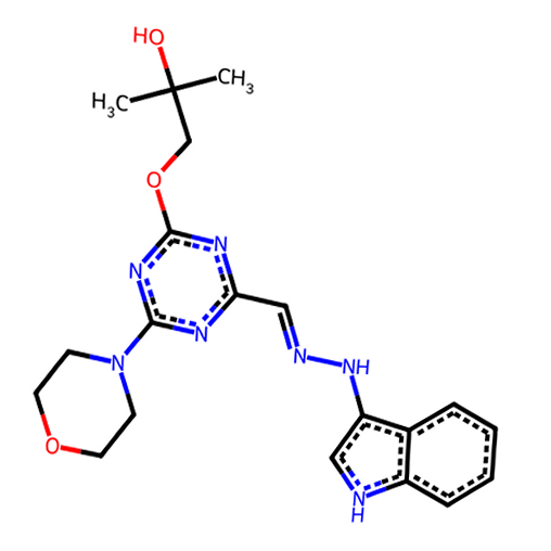 CC(C)(O)COc1nc(C=NNc2c[nH]c3ccccc23)nc(N2CCOCC2)n1